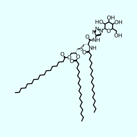 CCCCCCCCCCCCCCCCC(=O)N[C@H](CSC[C@@H](COC(=O)CCCCCCCCCCCCCCCC)OC(=O)CCCCCCCCCCCCCCCC)C(=O)Nc1cn([C@@H]2OC(CO)C(O)C(O)C2O)nn1